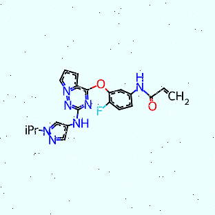 C=CC(=O)Nc1ccc(F)c(Oc2nc(Nc3cnn(C(C)C)c3)nn3cccc23)c1